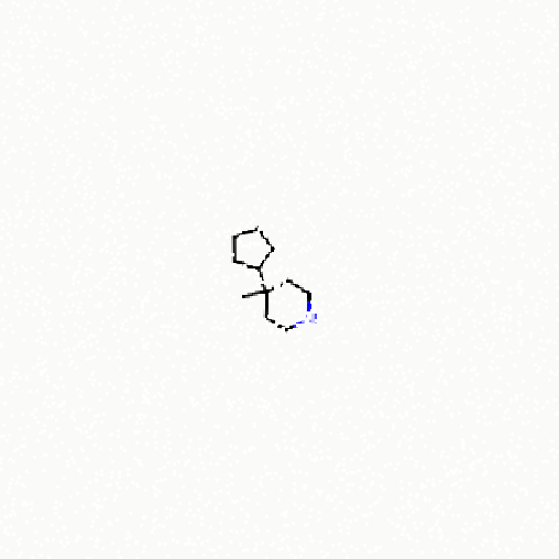 CC1(C2CCCC2)CCNCC1